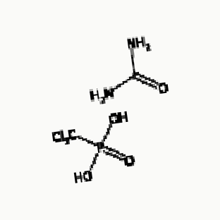 NC(N)=O.O=P(O)(O)C(Cl)(Cl)Cl